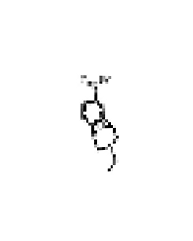 CCN1CC2OC(C1)c1cc([N+](=O)[O-])ccc12